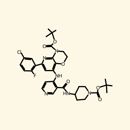 CC(C)(C)OC(=O)N1CCC(NC(=O)c2cnccc2Nc2cc(-c3cc(Cl)ccc3F)nc3c2OCCN3C(=O)OC(C)(C)C)CC1